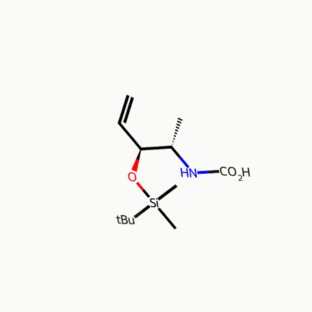 C=C[C@H](O[Si](C)(C)C(C)(C)C)[C@H](C)NC(=O)O